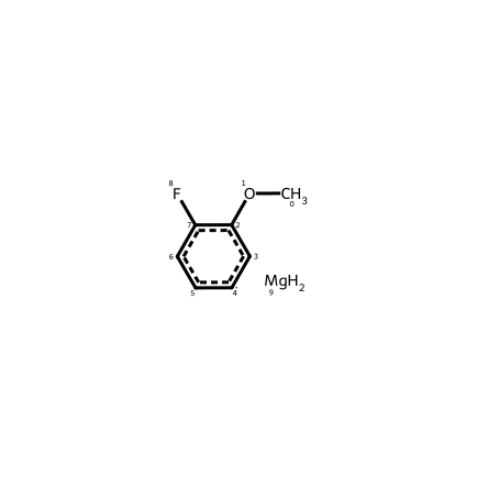 COc1c[c]ccc1F.[MgH2]